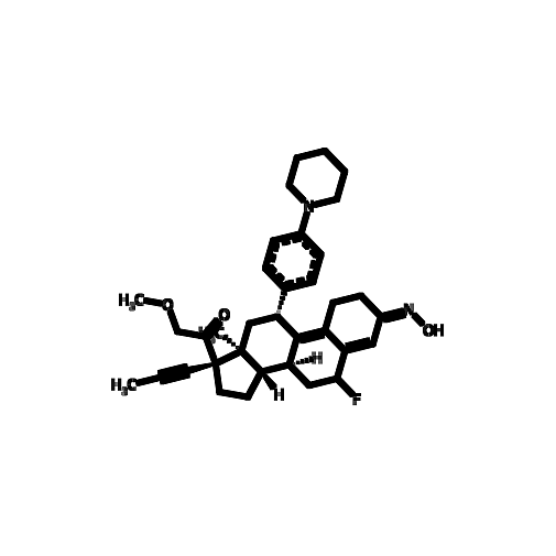 CC#C[C@]1(C(=O)COC)CC[C@H]2[C@@H]3CC(F)C4=CC(=NO)CCC4=C3[C@@H](c3ccc(N4CCCCC4)cc3)C[C@@]21C